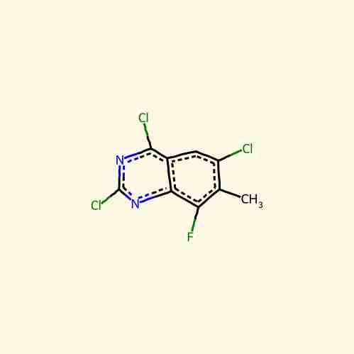 Cc1c(Cl)cc2c(Cl)nc(Cl)nc2c1F